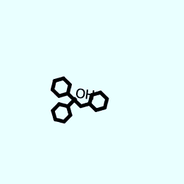 OC(CC1CCCCC1)(C1CCCCC1)C1CCCCC1